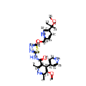 COc1c(C)nc(C)c(C(=O)Nc2nnc(OCc3ccc(C(C)(C)OC)cn3)s2)c1-c1ccncc1